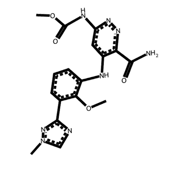 COC(=O)Nc1cc(Nc2cccc(-c3ncn(C)n3)c2OC)c(C(N)=O)nn1